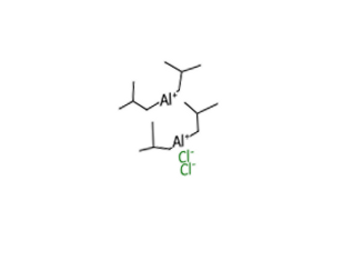 CC(C)[CH2][Al+][CH2]C(C)C.CC(C)[CH2][Al+][CH2]C(C)C.[Cl-].[Cl-]